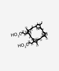 CC1=Cc2cc3[nH]c(cc4nc(cc5[nH]c(cc1n2)cc5C)C(C)C4CCC(=O)O)c(CCC(=O)O)c3C